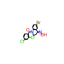 O=C(c1ccc(Cl)cc1Cl)N1CCC(=NO)c2cc(Br)ccc21